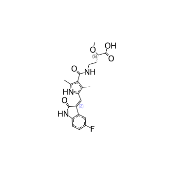 CO[C@@H](CCNC(=O)c1c(C)[nH]c(/C=C2\C(=O)Nc3ccc(F)cc32)c1C)C(=O)O